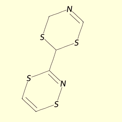 C1=CSC(C2SC=NCS2)=NS1